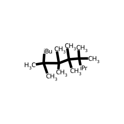 CCC(C)C(C)(C)C(C)(C)C(C)(C)C(C)(C)C(C)C